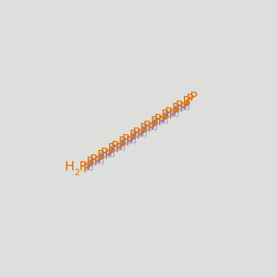 P#P=P\P=P/P=P\P=P/P=P\P=P/P=P\P=P/P=P\P=P/P=P\P=P/P=P\P=P/P=P\P=P/P=P\P=P/P=P\P=P/P